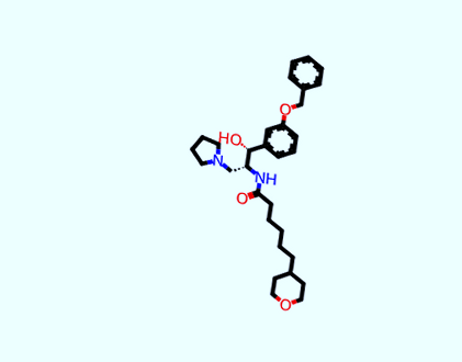 O=C(CCCCCC1CCOCC1)N[C@H](CN1CCCC1)[C@H](O)c1cccc(OCc2ccccc2)c1